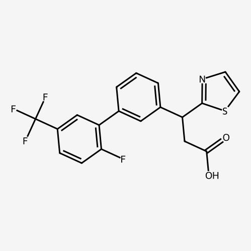 O=C(O)CC(c1cccc(-c2cc(C(F)(F)F)ccc2F)c1)c1nccs1